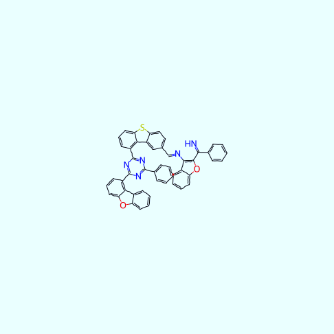 N=C(c1ccccc1)c1oc2ccccc2c1/N=C/c1ccc2sc3cccc(-c4nc(-c5ccccc5)nc(-c5cccc6oc7ccccc7c56)n4)c3c2c1